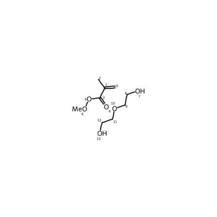 C=C(C)C(=O)OOC.OCCOCCO